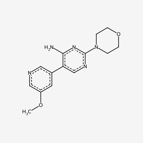 COc1cncc(-c2cnc(N3CCOCC3)nc2N)c1